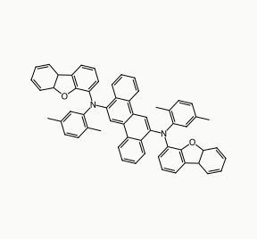 Cc1ccc(C)c(N(c2cccc3c2OC2C=CC=CC32)c2cc3c4ccccc4c(N(c4cc(C)ccc4C)c4cccc5c4OC4C=CC=CC54)cc3c3ccccc23)c1